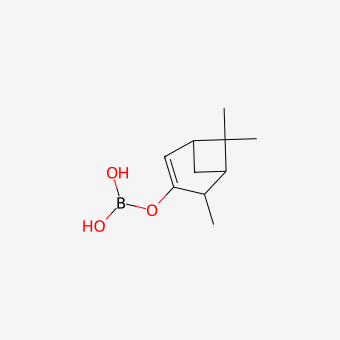 CC1C(OB(O)O)=CC2CC1C2(C)C